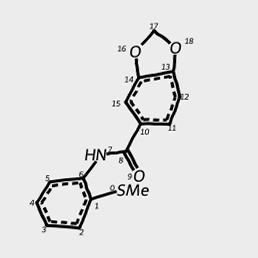 CSc1ccccc1NC(=O)c1ccc2c(c1)OCO2